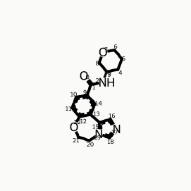 O=C(N[C@@H]1CCCOC1)c1ccc2c(c1)-c1cncn1CCO2